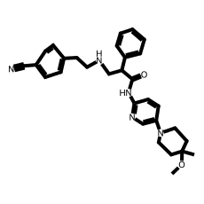 COC1(C)CCN(c2ccc(NC(=O)C(CNCCc3ccc(C#N)cc3)c3ccccc3)nc2)CC1